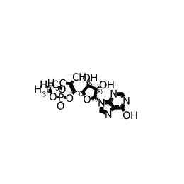 COP(=O)(OC)OC(=C(C)C)[C@H]1O[C@@H](n2cnc3c(O)ncnc32)[C@H](O)[C@@H]1O